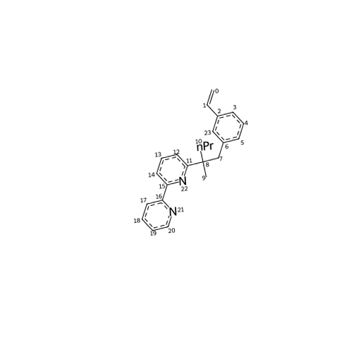 C=Cc1cccc(CC(C)(CCC)c2cccc(-c3ccccn3)n2)c1